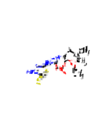 COC(=O)[C@H](CC(C)C)NC(=O)Nc1n[nH]c(=S)s1